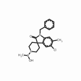 CB(O)N1CCC2(CC1)C(=O)N(Cc1ccccc1)c1cc(C)c(Cl)cc12